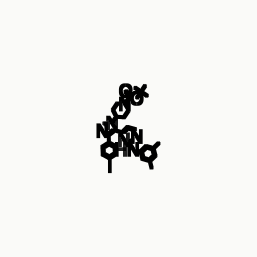 Cc1cc(C)cc(Nc2nccc(-c3c(-c4ccc(I)cc4)ncn3C3CCN(C(=O)OC(C)(C)C)CC3)n2)c1